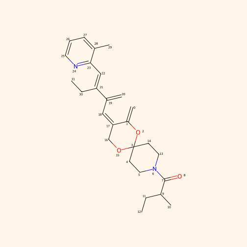 C=C1OC2(CCN(C(=O)C(C)CC)CC2)OC/C1=C/C(=C)/C(=C/c1ncccc1C)CC